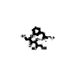 NC(Cc1ccccc1)C(=O)O.OCC(O)C(O)C(O)C(O)CO